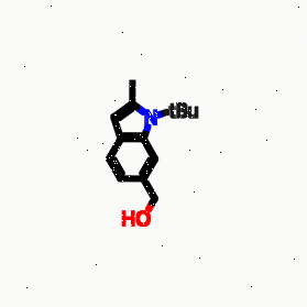 Cc1cc2ccc(CO)cc2n1C(C)(C)C